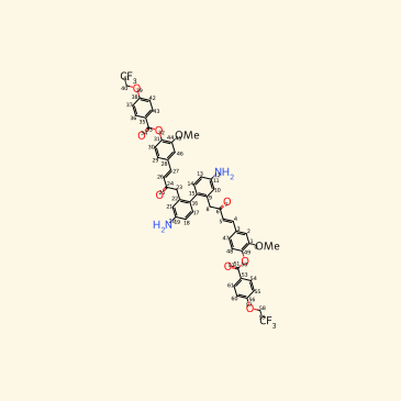 COc1cc(/C=C/C(=O)Cc2cc(N)ccc2-c2ccc(N)cc2CC(=O)/C=C/c2ccc(OC(=O)c3ccc(OCC(F)(F)F)cc3)c(OC)c2)ccc1OC(=O)c1ccc(OCC(F)(F)F)cc1